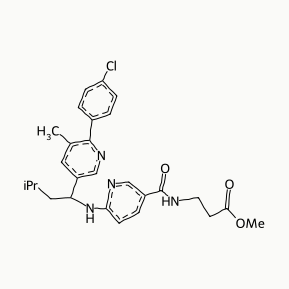 COC(=O)CCNC(=O)c1ccc(NC(CC(C)C)c2cnc(-c3ccc(Cl)cc3)c(C)c2)nc1